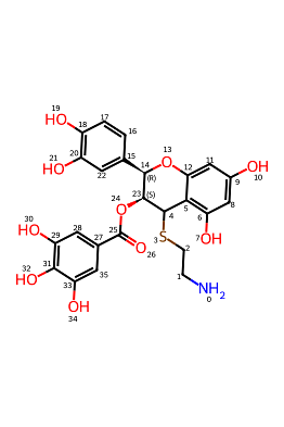 NCCSC1c2c(O)cc(O)cc2O[C@H](c2ccc(O)c(O)c2)[C@@H]1OC(=O)c1cc(O)c(O)c(O)c1